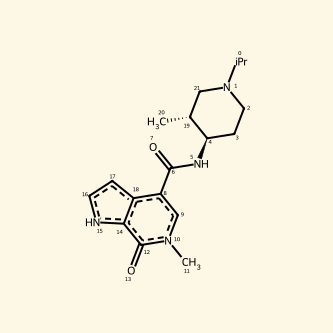 CC(C)N1CC[C@@H](NC(=O)c2cn(C)c(=O)c3[nH]ccc23)[C@H](C)C1